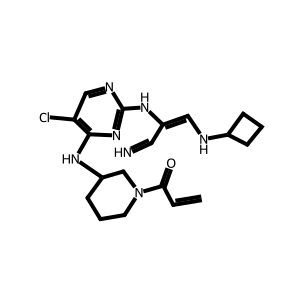 C=CC(=O)N1CCCC(Nc2nc(N/C(C=N)=C/NC3CCC3)ncc2Cl)C1